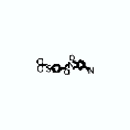 COC(=O)CSc1ccc(C(=O)CN2Cc3cc(C#N)ccc3C2=O)cc1